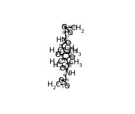 C=CS(=O)(=O)CCNC(=O)CC(C)(C)C1=C(C)C(=O)C(C(C)(C)CC(=O)NCCS(=O)(=O)C=C)=C(C)C1=O